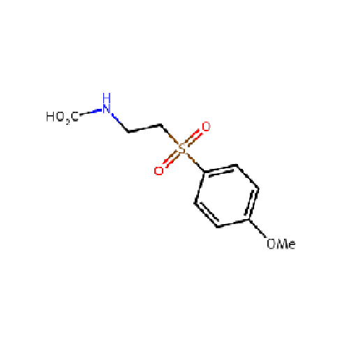 COc1ccc(S(=O)(=O)CCNC(=O)O)cc1